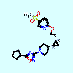 CS(=O)(=O)c1ccc(OCC[C@@H]2C[C@@H]2C2CCN(c3noc(C4CCCC4)n3)CC2)nc1